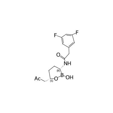 CC(=O)C[C@@H]1CC[C@H](NC(=O)Cc2cc(F)cc(F)c2)B(O)O1